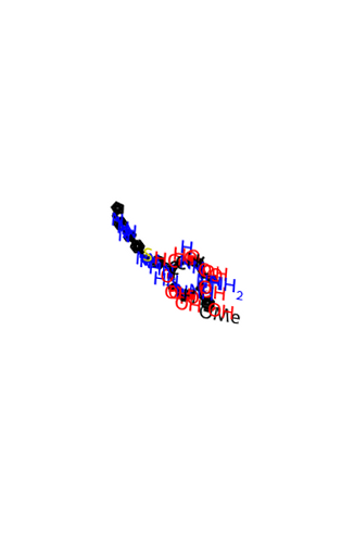 COc1cc(C[C@@H](O)[C@@H]2NC(=O)[C@@H]3C[C@@H](O)CN3C(=O)[C@H]([C@@H](C)O)NC(=O)[C@@H](NCC3CCN(c4nnc(-c5ccc(-c6cnc(N7CCN(CC8CCCC8)CC7)nc6)cc5)s4)CC3)C[C@@H](O)CNC(=O)[C@@H]3[C@@H](O)[C@@H](C)CN3C(=O)[C@H]([C@H](O)CC(N)=O)NC2=O)ccc1O